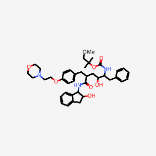 COCC(C)(C)OC(=O)NC(Cc1ccccc1)C(O)CC(Cc1ccc(OCCN2CCOCC2)cc1)C(=O)NC1c2ccccc2CC1O